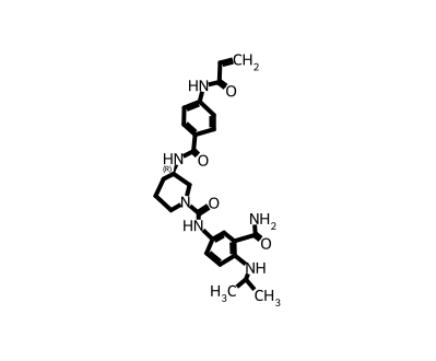 C=CC(=O)Nc1ccc(C(=O)N[C@@H]2CCCN(C(=O)Nc3ccc(NC(C)C)c(C(N)=O)c3)C2)cc1